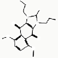 CCCN1C2=C(C(=O)c3c(OC)ccc(OC)c3C2=O)N(CCC)C1C